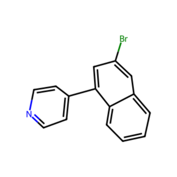 Brc1cc(-c2ccncc2)c2ccccc2c1